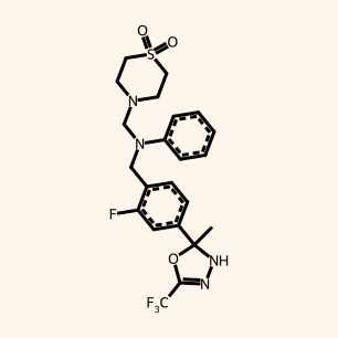 CC1(c2ccc(CN(CN3CCS(=O)(=O)CC3)c3ccccc3)c(F)c2)NN=C(C(F)(F)F)O1